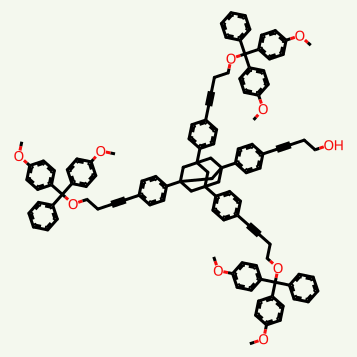 COc1ccc(C(OCCC#Cc2ccc(C34CC5(c6ccc(C#CCCO)cc6)CC(c6ccc(C#CCCOC(c7ccccc7)(c7ccc(OC)cc7)c7ccc(OC)cc7)cc6)(C3)CC(c3ccc(C#CCCOC(c6ccccc6)(c6ccc(OC)cc6)c6ccc(OC)cc6)cc3)(C5)C4)cc2)(c2ccccc2)c2ccc(OC)cc2)cc1